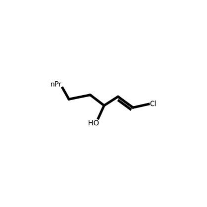 CCCCCC(O)/C=C/Cl